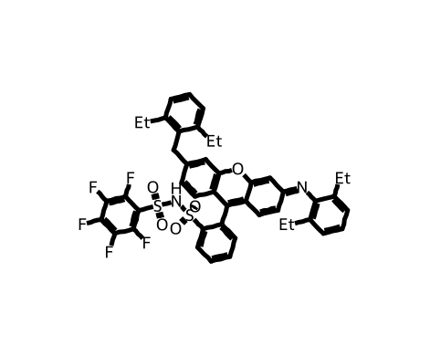 CCc1cccc(CC)c1Cc1ccc2c(-c3ccccc3S(=O)(=O)NS(=O)(=O)c3c(F)c(F)c(F)c(F)c3F)c3cc/c(=N\c4c(CC)cccc4CC)cc-3oc2c1